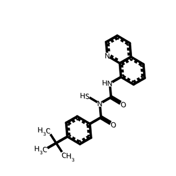 CC(C)(C)c1ccc(C(=O)N(S)C(=O)Nc2cccc3cccnc23)cc1